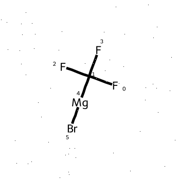 F[C](F)(F)[Mg][Br]